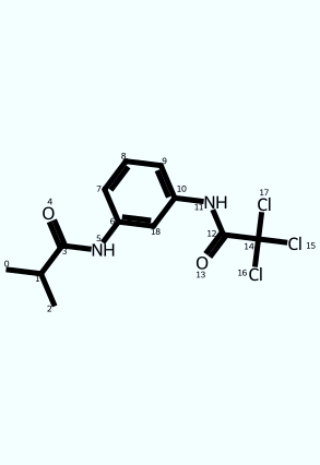 CC(C)C(=O)Nc1cccc(NC(=O)C(Cl)(Cl)Cl)c1